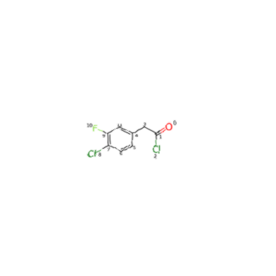 O=C(Cl)Cc1ccc(Cl)c(F)c1